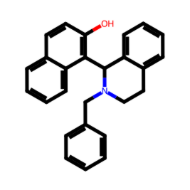 Oc1ccc2ccccc2c1C1c2ccccc2CCN1Cc1ccccc1